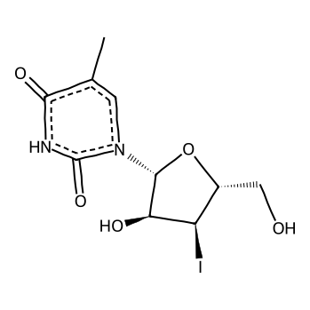 Cc1cn([C@@H]2O[C@H](CO)[C@@H](I)[C@H]2O)c(=O)[nH]c1=O